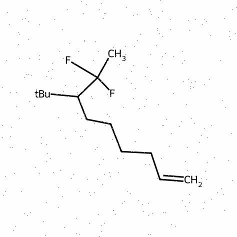 C=CCCCCC(C(C)(C)C)C(C)(F)F